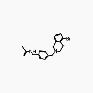 C=C(C)NCc1ccc(CN2CCc3c(Br)cccc3C2)cc1